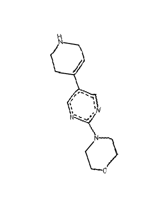 C1=C(c2cnc(N3CCOCC3)nc2)CCNC1